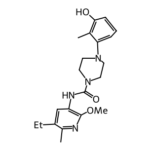 CCc1cc(NC(=O)N2CCN(c3cccc(O)c3C)CC2)c(OC)nc1C